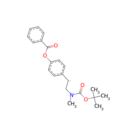 CN(C[CH]c1ccc(OC(=O)c2ccccc2)cc1)C(=O)OC(C)(C)C